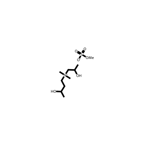 CC(O)CC[N+](C)(C)CC(C)O.COS(=O)(=O)[O-]